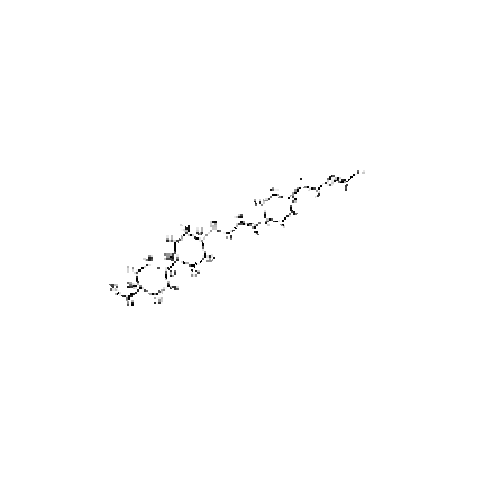 CC=CCC[C@H]1CC[C@H](C=CCC[C@H]2CC[C@H]([C@H]3CC[C@H](CC)CC3)CC2)CC1